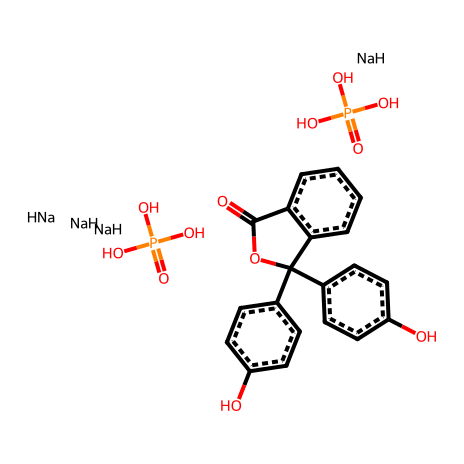 O=C1OC(c2ccc(O)cc2)(c2ccc(O)cc2)c2ccccc21.O=P(O)(O)O.O=P(O)(O)O.[NaH].[NaH].[NaH].[NaH]